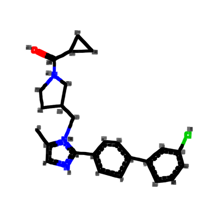 Cc1cnc(-c2ccc(-c3cccc(Cl)c3)cc2)n1CC1CCN(C(=O)C2CC2)C1